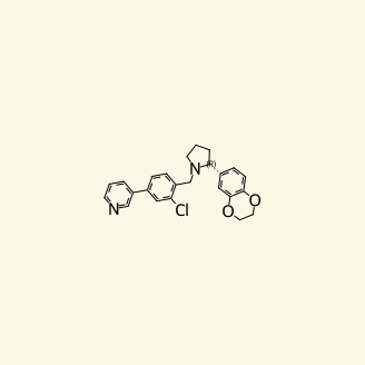 Clc1cc(-c2cccnc2)ccc1CN1CCC[C@@H]1c1ccc2c(c1)OCCO2